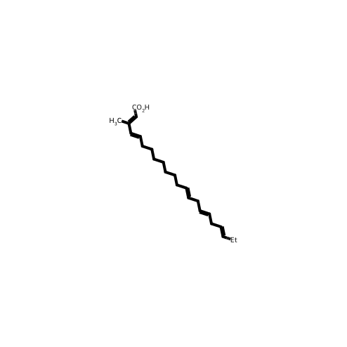 CCC=CCC=CCC=CCCCCCCCC=CC(C)=CC(=O)O